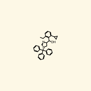 CCc1cccc(C2CC2)c1C(O)C1CN(C(c2ccccc2)(c2ccccc2)c2ccccc2)C=N1